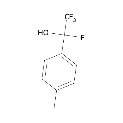 Cc1ccc(C(O)(F)C(F)(F)F)cc1